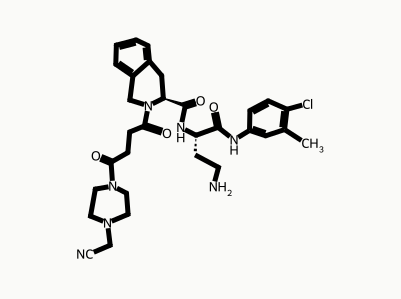 Cc1cc(NC(=O)[C@H](CCN)NC(=O)[C@@H]2Cc3ccccc3CN2C(=O)CCC(=O)N2CCN(CC#N)CC2)ccc1Cl